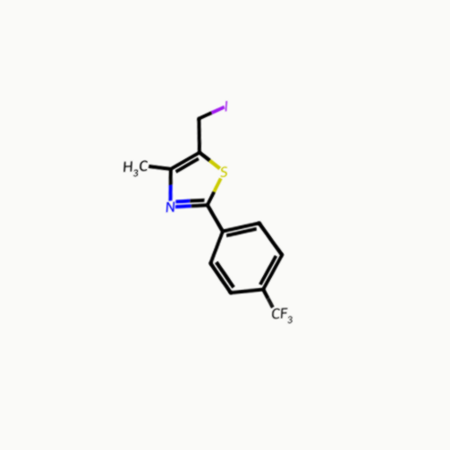 Cc1nc(-c2ccc(C(F)(F)F)cc2)sc1CI